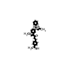 CCCN(c1ccc2c(c1)c(C(=O)CCc1ccc(C(C)=N)cc1)cn2C)S(=O)(=O)c1ccccc1